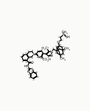 Cc1c(-c2ccc(N3CCc4cccc(C(=O)Nc5nc6ccccc6s5)c4C3)nc2C(=O)O)cnn1CC12CC3(C)CC(C)(C1)CC(OCCN(C)S)(C3)C2